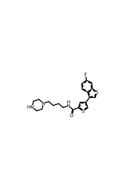 O=C(NCCCCN1CCNCC1)c1cc(-c2csc3cc(F)ccc23)cs1